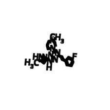 Cc1cc(Nc2nc(/C=C/c3cccc(F)c3)nc(N3CCCN(C)CC3)n2)n[nH]1